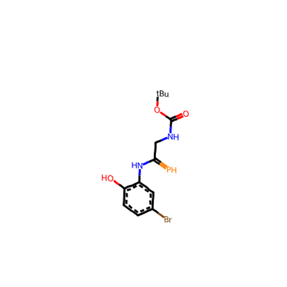 CC(C)(C)OC(=O)NCC(=P)Nc1cc(Br)ccc1O